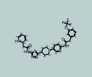 O=C(Cc1cccc(OC(F)(F)F)c1)Nc1ccc(N2CCC(c3nnc(NC(=O)CC4C=CC=CN4)s3)CC2)cn1